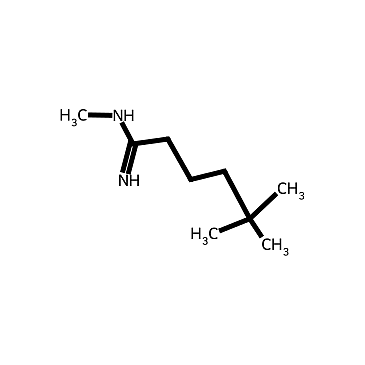 CNC(=N)CCCC(C)(C)C